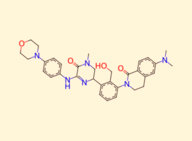 CN1CC(c2cccc(N3CCc4cc(N(C)C)ccc4C3=O)c2CO)N=C(Nc2ccc(N3CCOCC3)cc2)C1=O